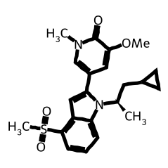 COc1cc(-c2cc3c(S(C)(=O)=O)cccc3n2[C@H](C)CC2CC2)cn(C)c1=O